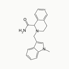 Cn1cc(CN2CCc3c[c]ccc3C2C(N)=O)c2ccccc21